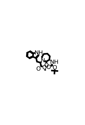 COC(=O)C(Cc1c[nH]c2ccccc12)N1CCCC[C@H](NC(=O)OC(C)(C)C)C1=O